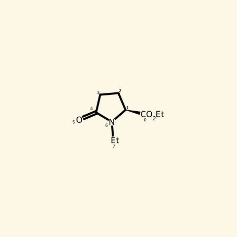 CCOC(=O)[C@@H]1CCC(=O)N1CC